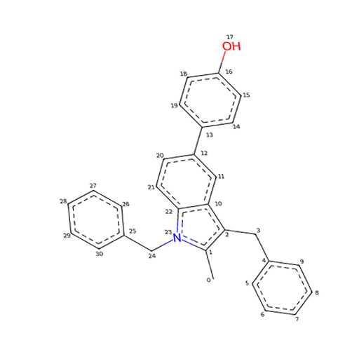 Cc1c(Cc2ccccc2)c2cc(-c3ccc(O)cc3)ccc2n1Cc1ccccc1